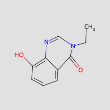 CCn1cnc2c(O)cccc2c1=O